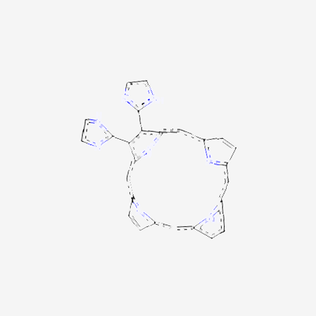 C1=Cc2cc3[nH]c(cc4nc(cc5ccc(cc1n2)[nH]5)C=C4)c(-c1ncc[nH]1)c3-c1ncc[nH]1